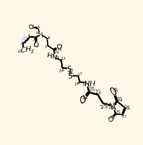 C/C=C\C(=O)N(C=O)CCC(=O)NCCSSCCNC(=O)CCN1C(=O)C=CC1=O